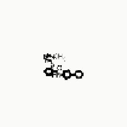 Cn1nnnc1Sc1ccccc1C(=O)Nc1ccc(C2CCCCC2)cc1